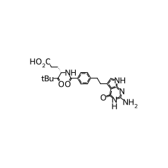 CC(C)(C)C(=O)[C@H](CCC(=O)O)NC(=O)c1ccc(CCc2c[nH]c3nc(N)[nH]c(=O)c23)cc1